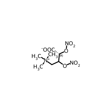 C[N+](C)(C)CC(O[N+](=O)[O-])[C@@H](O[N+](=O)[O-])C(=O)[O-]